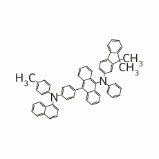 Cc1ccc(N(c2ccc(-c3c4ccccc4c(N(c4ccccc4)c4ccc5c(c4)C(C)(C)c4ccccc4-5)c4ccccc34)cc2)c2cccc3ccccc23)cc1